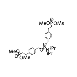 COP(=O)(CCc1ccc(COP(OCc2ccc(CCP(=O)(OC)OC)cc2)N(C(C)C)C(C)C)cc1)OC